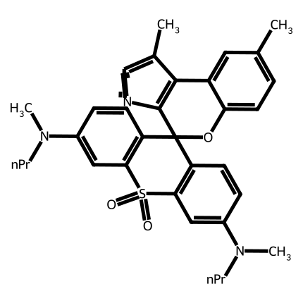 CCCN(C)c1ccc2c(c1)S(=O)(=O)c1cc(N(C)CCC)ccc1C21Oc2ccc(C)cc2-c2c(C)c3ccccn3c21